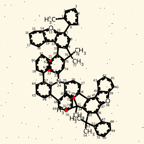 Cc1ccccc1-c1cc2c(c3c1oc1ccccc13)-c1ccc(N(c3ccc4c(c3)C(C)(C)c3c5c(c6oc7ccccc7c6c3-4)-c3ccccc3C5(C)C)c3c(-c4ccccc4)cccc3-c3ccccc3)cc1C2(C)C